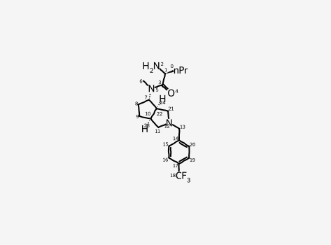 CCC[C@H](N)C(=O)N(C)[C@H]1CC[C@@H]2CN(Cc3ccc(C(F)(F)F)cc3)C[C@@H]21